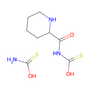 NC(O)=S.O=C(NC(O)=S)C1CCCCN1